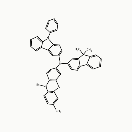 CCN1c2ccc(C)cc2Sc2cc(N(c3ccc4c(c3)C(C)(C)c3ccccc3-4)c3ccc4c(c3)c3ccccc3n4-c3ccccc3)ccc21